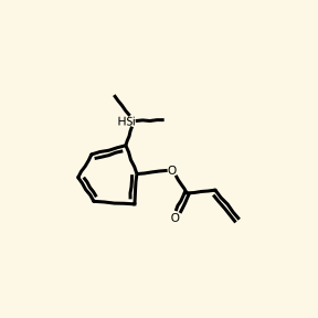 C=CC(=O)Oc1ccccc1[SiH](C)C